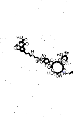 CO[C@]1(C)C[C@H](O[C@H]2[C@H](C)[C@H](O[C@H]3O[C@@H](C)C[C@H](N(C)C)[C@H]3O)[C@](C)(O)C[C@@H](C)/C(=N\OCC#N)[C@@H](C)[C@H](O)[C@@](C)(O)OC(=O)[C@@H]2C)O[C@@H](C)[C@@H]1OS(=O)(=O)CCNCCCc1cc2c3c(c1)c(=O)c(C(=O)O)cn3COC2